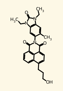 CCn1c(=O)n(CC)c2cc(N3C(=O)c4cccc5c(CCCO)ccc(c45)C3=O)c(C)cc21